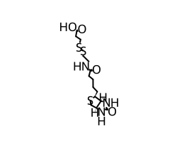 O=C(O)CCSSCCNC(=O)CCCC[C@@H]1SC[C@@H]2NC(=O)N[C@@H]21